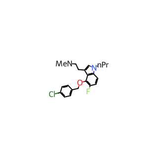 CCCn1cc(CCNC)c2c(OCc3ccc(Cl)cc3)c(F)ccc21